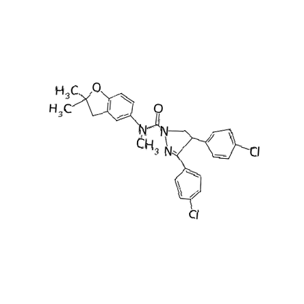 CN(C(=O)N1CC(c2ccc(Cl)cc2)C(c2ccc(Cl)cc2)=N1)c1ccc2c(c1)CC(C)(C)O2